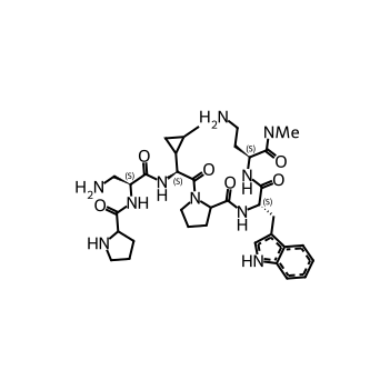 CNC(=O)[C@H](CCN)NC(=O)[C@H](Cc1c[nH]c2ccccc12)NC(=O)C1CCCN1C(=O)[C@@H](NC(=O)[C@H](CN)NC(=O)C1CCCN1)C1CC1C